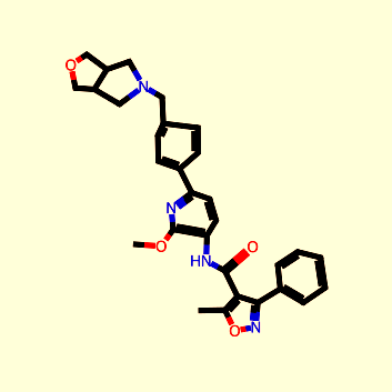 COc1nc(-c2ccc(CN3CC4COCC4C3)cc2)ccc1NC(=O)c1c(-c2ccccc2)noc1C